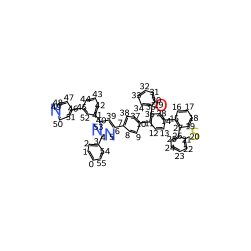 c1ccc(-c2nc(-c3ccc(-c4ccc(-c5cccc6sc7ccccc7c56)c5oc6ccccc6c45)cc3)cc(-c3cccc(-c4ccncc4)c3)n2)cc1